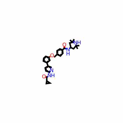 CC1(C)CC(NC(=O)c2ccc(COc3cccc(-c4ccc(NC(=O)C5CC5)nc4)c3)cc2)CC(C)(C)N1